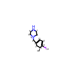 C[C@H]1CC(CN2CCNCC2)=CC=C1I